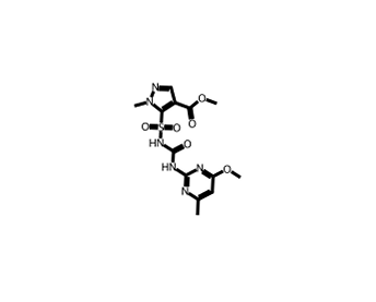 COC(=O)c1cnn(C)c1S(=O)(=O)NC(=O)Nc1nc(C)cc(OC)n1